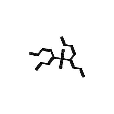 C=C/C=C\C(=C/C=C)S(=O)(=O)C(/C=C\C=C)=C/C=C